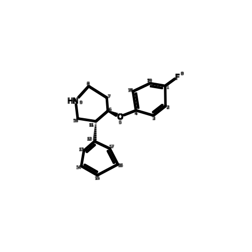 Fc1ccc(O[C@@H]2CCNC[C@H]2c2ccccc2)cc1